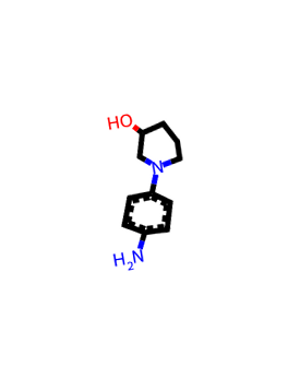 Nc1ccc(N2CCCC(O)C2)cc1